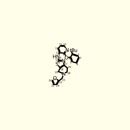 CC(C)(C)c1ccccc1Oc1ncccc1Nc1nc2c(s1)CN(Cc1ccco1)CC2